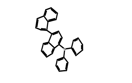 c1ccc(N(c2ccccc2)c2ccc(-c3cccc4ccccc34)c3ccccc23)cc1